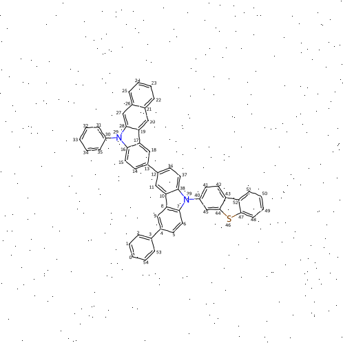 c1ccc(-c2ccc3c(c2)c2cc(-c4ccc5c(c4)c4cc6ccccc6cc4n5-c4ccccc4)ccc2n3-c2ccc3c(c2)sc2ccccc23)cc1